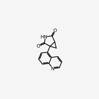 O=C1NC(=O)C2(c3cccc4ncccc34)CC12